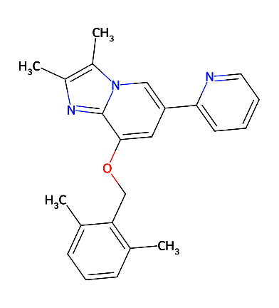 Cc1cccc(C)c1COc1cc(-c2ccccn2)cn2c(C)c(C)nc12